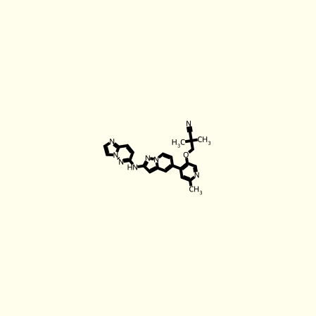 Cc1cc(-c2ccn3nc(Nc4ccc5nccn5n4)cc3c2)c(OCC(C)(C)C#N)cn1